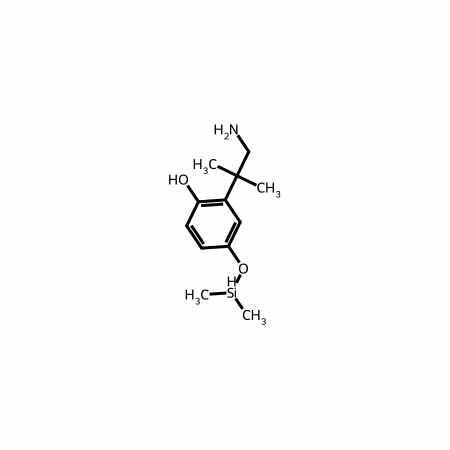 C[SiH](C)Oc1ccc(O)c(C(C)(C)CN)c1